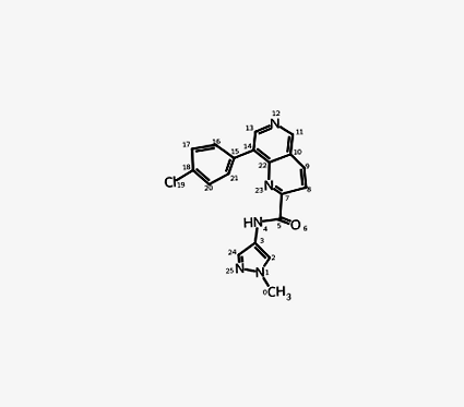 Cn1cc(NC(=O)c2ccc3cncc(-c4ccc(Cl)cc4)c3n2)cn1